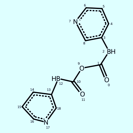 O=C(Bc1cccnc1)OC(=O)Bc1cccnc1